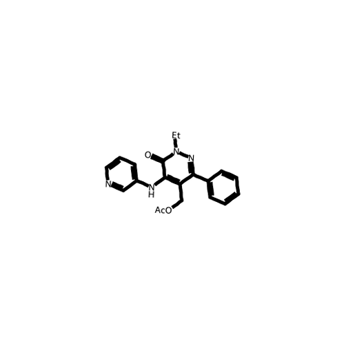 CCn1nc(-c2ccccc2)c(COC(C)=O)c(Nc2cccnc2)c1=O